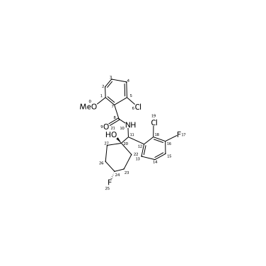 COc1cccc(Cl)c1C(=O)NC(c1cccc(F)c1Cl)[C@]1(O)CC[C@H](F)CC1